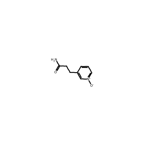 NC(=O)C[CH]c1ccc[n+]([O-])c1